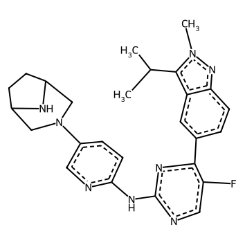 CC(C)c1c2cc(-c3nc(Nc4ccc(N5CC6CCC(C5)N6)cn4)ncc3F)ccc2nn1C